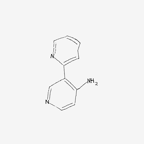 Nc1ccncc1-c1ccccn1